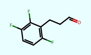 O=[C]CCc1c(F)ccc(F)c1F